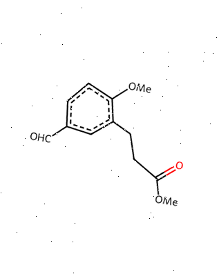 COC(=O)CCc1cc(C=O)ccc1OC